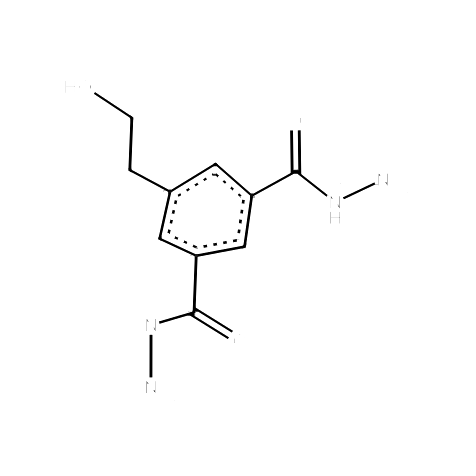 NNC(=O)c1cc(CCO)cc(C(=O)NN)c1